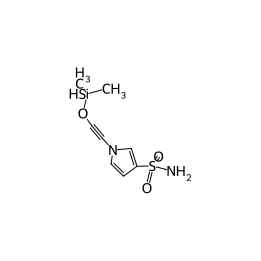 C[SiH](C)OC#Cn1ccc(S(N)(=O)=O)c1